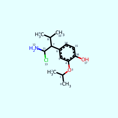 CC(C)Oc1cc(C(C(C)C)C(N)Cl)ccc1O